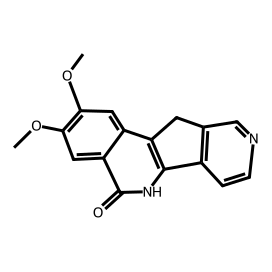 COc1cc2c3c([nH]c(=O)c2cc1OC)-c1ccncc1C3